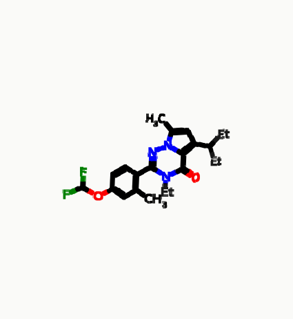 CCC(CC)c1cc(C)n2nc(-c3ccc(OC(F)F)cc3C)n(CC)c(=O)c12